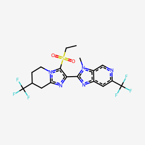 CCS(=O)(=O)c1c(-c2nc3cc(C(F)(F)F)ncc3n2C)nc2n1CCC(C(F)(F)F)C2